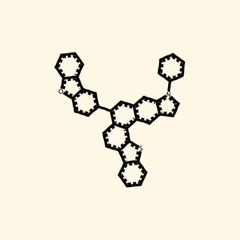 c1ccc(-n2ccc3cc4c(cc(-c5ccc6oc7ccccc7c6c5)c5ccc6c7ccccc7sc6c54)cc32)cc1